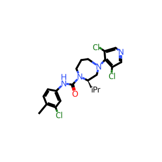 Cc1ccc(NC(=O)N2CCCN(c3c(Cl)cncc3Cl)C[C@H]2C(C)C)cc1Cl